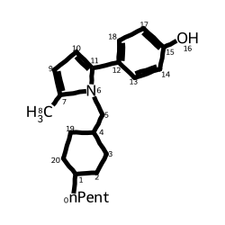 CCCCCC1CCC(Cn2c(C)ccc2-c2ccc(O)cc2)CC1